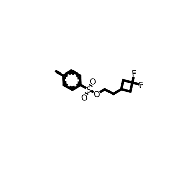 Cc1ccc(S(=O)(=O)OCCC2CC(F)(F)C2)cc1